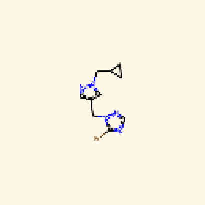 Brc1ncnn1Cc1cnn(CC2CC2)c1